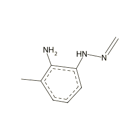 C=NNc1cccc(C)c1N